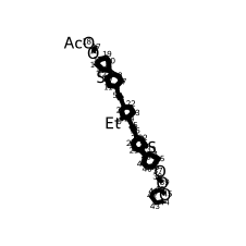 CCc1cc(C#Cc2ccc3c(c2)sc2cc(OCOC(C)=O)ccc23)ccc1C#Cc1ccc2c(c1)sc1cc(OCOC3CCCCO3)ccc12